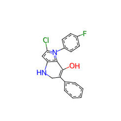 OC1=C(c2ccccc2)CNc2cc(Cl)n(-c3ccc(F)cc3)c21